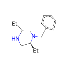 CCC1CN(Cc2ccccc2)[C@@H](CC)CN1